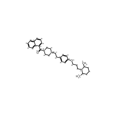 CC1CCCC(C)N1CCCOc1ccc(CCN2CCN(C(=O)c3cccc4ccccc34)CC2)cc1